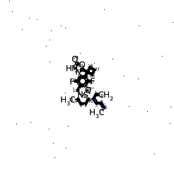 C=C/C(=C\C=C/C)[C@@H]1CC[C@H](C)N(Cc2cc(F)c(C3(c4n[nH]c(=O)o4)CCC3)cc2F)[S+]1[O-]